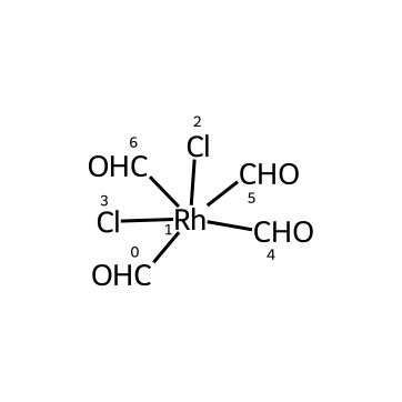 O=[CH][Rh]([Cl])([Cl])([CH]=O)([CH]=O)[CH]=O